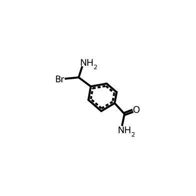 NC(=O)c1ccc(C(N)Br)cc1